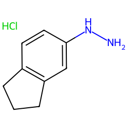 Cl.NNc1ccc2c(c1)CCC2